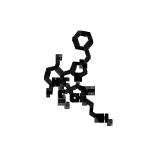 CC(C)(C)[C@H](NCCCN)N1CN(Cc2ccccc2)C=C1c1cc(F)ccc1F